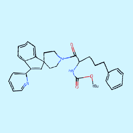 CC(C)(C)OC(=O)NC(CCCc1ccccc1)C(=O)N1CCC2(C=C(c3ccccn3)c3ccccc32)CC1